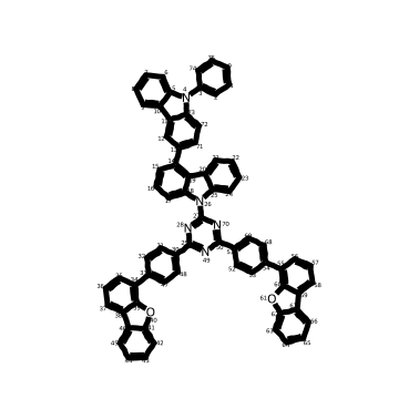 c1ccc(-n2c3ccccc3c3cc(-c4cccc5c4c4ccccc4n5-c4nc(-c5ccc(-c6cccc7c6oc6ccccc67)cc5)nc(-c5ccc(-c6cccc7c6oc6ccccc67)cc5)n4)ccc32)cc1